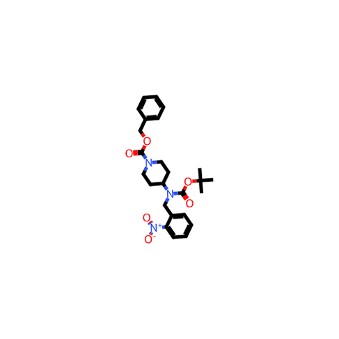 CC(C)(C)OC(=O)N(Cc1ccccc1[N+](=O)[O-])C1CCN(C(=O)OCc2ccccc2)CC1